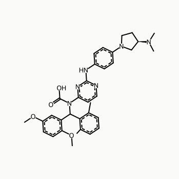 COc1ccc(OC)c(C(c2c(C)cccc2C)N(C(=O)O)c2ccnc(Nc3ccc(N4CC[C@@H](N(C)C)C4)cc3)n2)c1